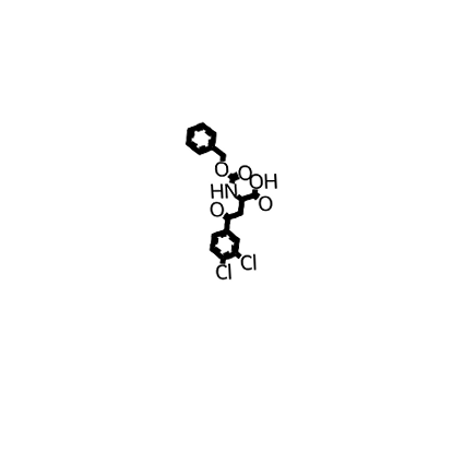 O=C(NC(CC(=O)c1ccc(Cl)c(Cl)c1)C(=O)O)OCc1ccccc1